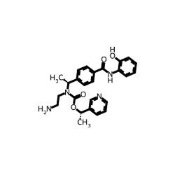 C[C@H](OC(=O)N(CCN)[C@@H](C)c1ccc(C(=O)Nc2ccccc2O)cc1)c1cccnc1